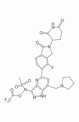 CS(=O)(=O)N(OC(=O)C(F)(F)F)c1n[nH]c2c(CN3CCCC3)cc(-c3ccc4c(c3F)CN(C3CCC(=O)NC3=O)C4=O)nc12